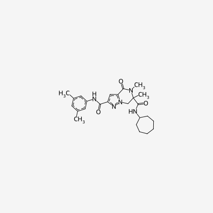 Cc1cc(C)cc(NC(=O)c2cc3n(n2)CC(C)(C(=O)NC2CCCCCC2)N(C)C3=O)c1